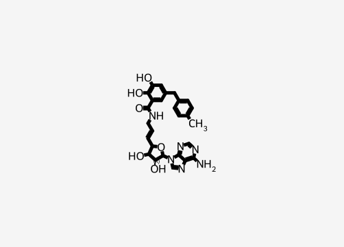 Cc1ccc(Cc2cc(O)c(O)c(C(=O)NCC=CC3OC(n4cnc5c(N)ncnc54)[C@H](O)C3O)c2)cc1